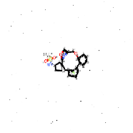 CS(=O)(=O)N[C@H]1CC[C@@]2(Cc3cccc(c3F)-c3ccccc3OCc3coc2n3)C1